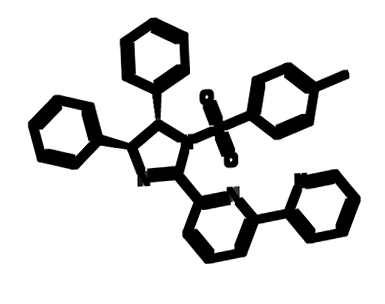 Cc1ccc(S(=O)(=O)N2C(c3cccc(-c4ccccn4)n3)=N[C@@H](c3ccccc3)[C@@H]2c2ccccc2)cc1